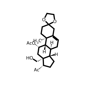 CC(=O)O[C@H]1C[C@]2(CO)[C@@H](C(C)=O)CC[C@H]2[C@@H]2CC=C3CC4(CC[C@]3(C)[C@H]21)OCCO4